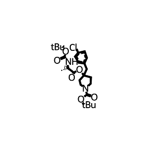 C[C@H](NC(=O)OC(C)(C)C)C(=O)OC1(Cc2ccc(Cl)cc2)CCN(C(=O)OC(C)(C)C)CC1